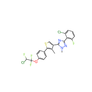 Cc1c(-c2nc(-c3c(F)cccc3Cl)nn2C)csc1-c1ccc(OC(F)(F)C(F)Cl)cc1